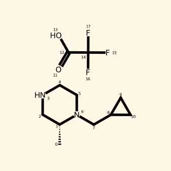 C[C@@H]1CNCCN1CC1CC1.O=C(O)C(F)(F)F